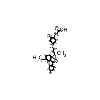 CCc1ccc(O[C@H](C)CCOc2ccc(CCC(=O)O)c(F)c2)c(C(=O)c2ccccc2)c1